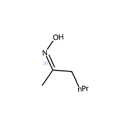 CCCC/C(C)=N\O